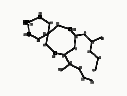 CCCC(C)CC1CC(C(C)CCC)OCC2(COPOC2)CO1